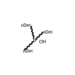 CCCCCCCCCCCCCCCCCCN(CCCCCCCCCCCCCCCC)CCCCCCCCCCCCCCCCCC.Cl